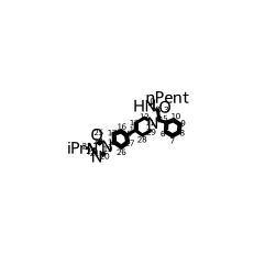 CCCCCNC(=O)C(c1ccccc1)N1CC=C(c2ccc(-n3cnn(C(C)C)c3=O)cc2)CC1